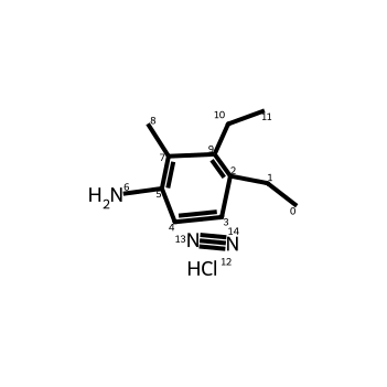 CCc1ccc(N)c(C)c1CC.Cl.N#N